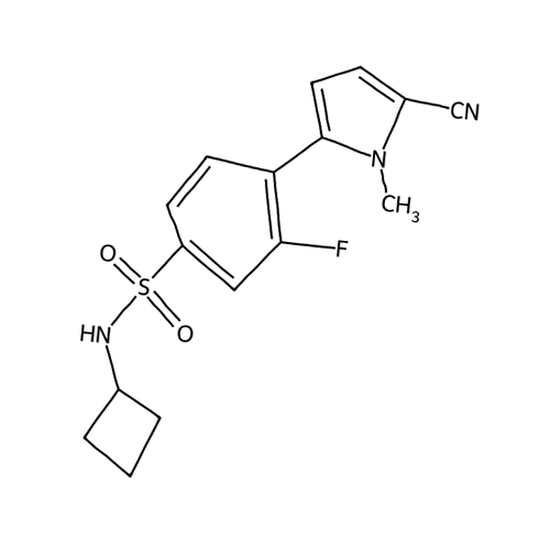 Cn1c(C#N)ccc1-c1ccc(S(=O)(=O)NC2CCC2)cc1F